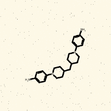 Nc1ccc(N2CCC(CC3CCN(c4ccc(N)cc4)CC3)CC2)cc1